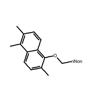 CCCCCCCCCCOc1c(C)ccc2c(C)c(C)ccc12